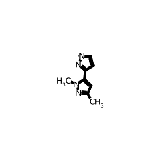 Cc1cc(C2=N[N]C=C2)n(C)n1